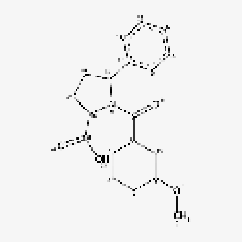 COC1CCCC(C(=O)N2C(C(=O)O)CCC2c2ccccc2)C1